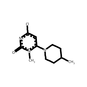 CC1CCN(c2cc(Cl)nc(=O)n2C)CC1